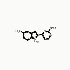 CNc1nccc(-c2cc3cc(C(=O)O)ccc3[nH]2)n1.[Na]